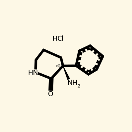 Cl.N[C@]1(c2ccccc2)CCCNC1=O